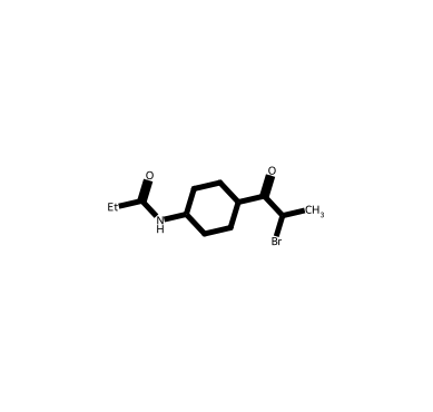 CCC(=O)NC1CCC(C(=O)C(C)Br)CC1